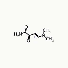 CN(C)/C=C/C(=O)C(N)=O